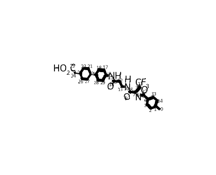 Cc1ccc(-c2nc(C(=O)NCCC(=O)Nc3ccc([C@H]4CC[C@H](CC(=O)O)CC4)cc3)c(C(F)(F)F)o2)cc1